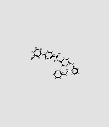 O=C(NC1CCN(Cc2ccnn2CCc2ccccc2)CC1)c1ccc(-c2cccc(F)c2)nc1